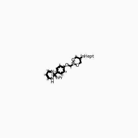 CCCCCCCC1COB(COc2ccc(C3(CCC)N=CC=CN3)cc2)OC1